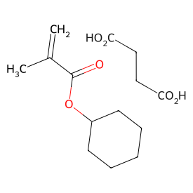 C=C(C)C(=O)OC1CCCCC1.O=C(O)CCC(=O)O